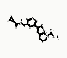 NC(=O)N1CCCc2cc(-c3cncc(CNC(=O)C4CC4)c3)cnc21